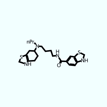 CCCN(CCCCNC(=O)c1ccc2c(c1)SCN2)C1CCC2=C(C1)SCN2